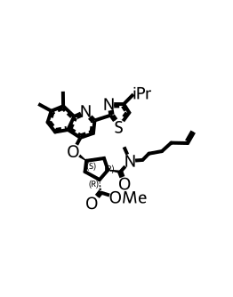 C=CCCCCN(C)C(=O)[C@@H]1C[C@H](Oc2cc(-c3nc(C(C)C)cs3)nc3c(C)c(C)ccc23)C[C@H]1C(=O)OC